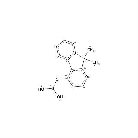 CC1(C)c2ccccc2-c2c(OB(O)O)cccc21